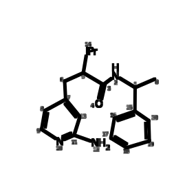 CC(NC(=O)C(Cc1ccnc(N)c1)C(C)C)c1ccccc1